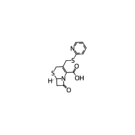 O=C(O)C1=C(CSc2ccccn2)CS[C@@H]2CC(=O)N12